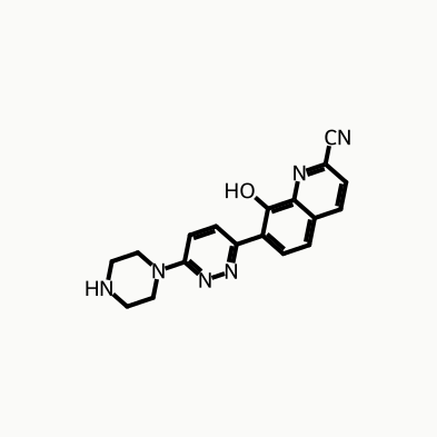 N#Cc1ccc2ccc(-c3ccc(N4CCNCC4)nn3)c(O)c2n1